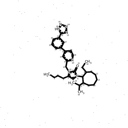 CCCCc1cn(C2C(CC)CCCCCC2C(C)C)c(=O)n1Cc1cc(-c2cccc(-c3nnn[nH]3)c2)ccn1